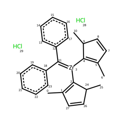 CC1=[C]([Zr]([C]2=C(C)C=CC2C)=[C](c2ccccc2)c2ccccc2)C(C)C=C1.Cl.Cl